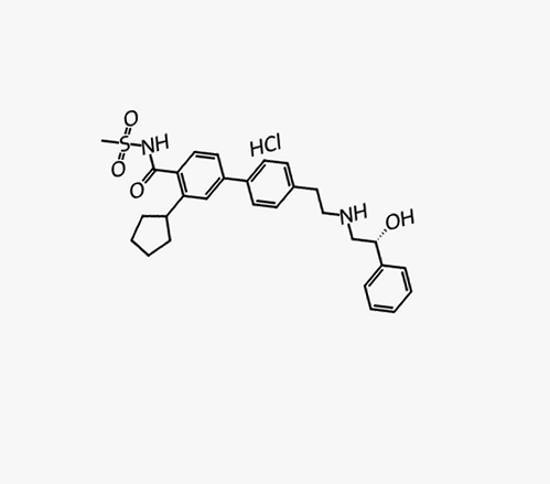 CS(=O)(=O)NC(=O)c1ccc(-c2ccc(CCNC[C@H](O)c3ccccc3)cc2)cc1C1CCCC1.Cl